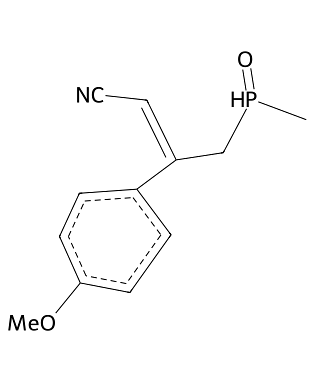 COc1ccc(/C(=C\C#N)C[PH](C)=O)cc1